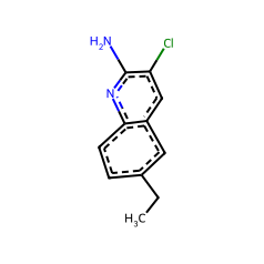 CCc1ccc2nc(N)c(Cl)cc2c1